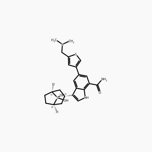 CN(C)Cc1cc(-c2cc(C(N)=O)c3[nH]cc([C@@H]4C[C@H]5CC[C@@H](C4)S5(O)O)c3c2)cs1